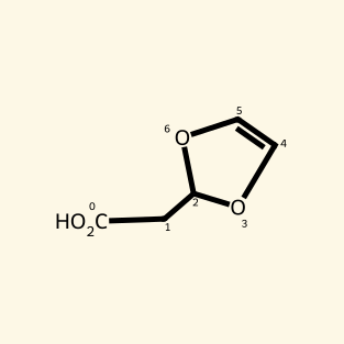 O=C(O)CC1OC=CO1